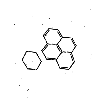 C1CCCCC1.c1cc2ccc3cccc4ccc(c1)c2c34